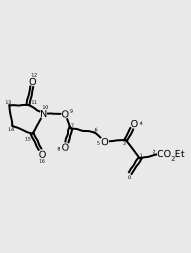 C=C(C(=O)OCC)C(=O)OCC(=O)ON1C(=O)CCC1=O